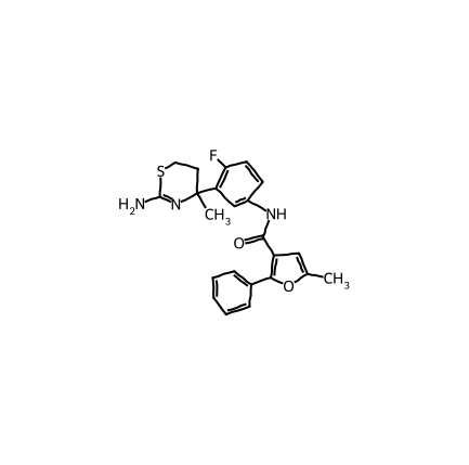 Cc1cc(C(=O)Nc2ccc(F)c(C3(C)CCSC(N)=N3)c2)c(-c2ccccc2)o1